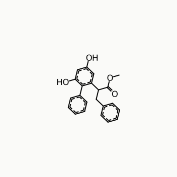 COC(=O)C(Cc1ccccc1)c1cc(O)cc(O)c1-c1ccccc1